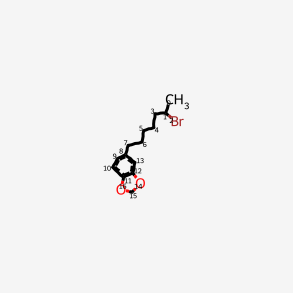 CC(Br)CCCCCc1ccc2c(c1)OCO2